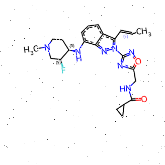 C/C=C/c1c2cccc(N[C@@H]3CCN(C)C[C@@H]3F)c2nn1-c1noc(CNC(=O)C2CC2)n1